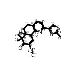 [C-]#[N+]C1=C[C@]2(C)c3nc(-c4csc(C)n4)ccc3CC[C@H]2C(C)(C)C1=O